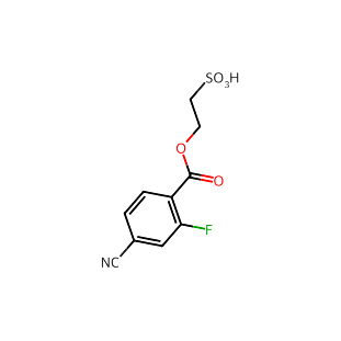 N#Cc1ccc(C(=O)OCCS(=O)(=O)O)c(F)c1